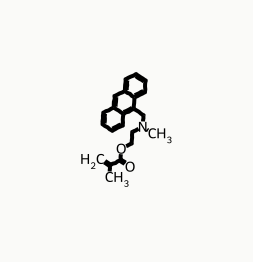 C=C(C)C(=O)OCCN(C)Cc1c2ccccc2cc2ccccc12